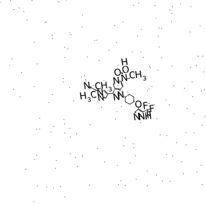 CCN(C(=O)O)c1cc2c(cn1)c(-c1cnn(C(C)(C)C#N)c1)nn2[C@H]1CC[C@@H](Oc2cn[nH]c2C(F)(F)F)CC1